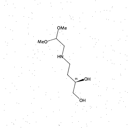 COC(CNCC[C@@H](O)CO)OC